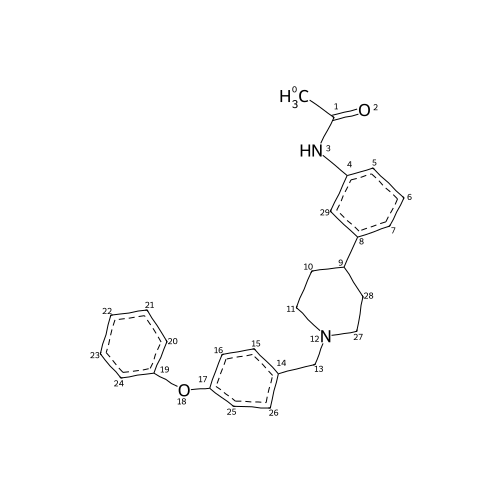 CC(=O)Nc1cccc(C2CCN(Cc3ccc(Oc4ccccc4)cc3)CC2)c1